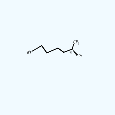 CC(C)CCCC[C@H](C(C)C)C(F)(F)F